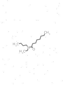 CCCCCCCC(=O)N(CC)CCCC